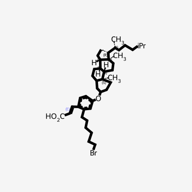 CC(C)CCC[C@@H](C)[C@H]1CC[C@H]2[C@@H]3CCC4CC(Oc5ccc(/C=C/C(=O)O)c(CCCCCCBr)c5)CC[C@]4(C)[C@H]3CC[C@]12C